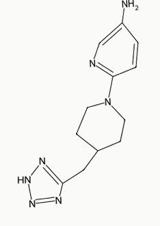 Nc1ccc(N2CCC(Cc3nn[nH]n3)CC2)nc1